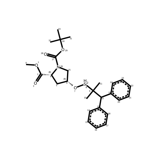 COC(=O)[C@H]1C[C@@H](O[SiH2]C(C)(C)C(c2ccccc2)c2ccccc2)CN1C(=O)OC(C)(C)C